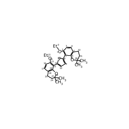 CCOc1ccc2c(c1-c1ccc(-c3c(OCC)ccc4c3OC(C)(C)CC4)s1)OC(C)(C)CC2